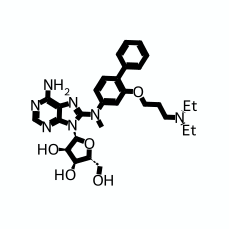 CCN(CC)CCCOc1cc(N(C)c2nc3c(N)ncnc3n2[C@@H]2O[C@H](CO)[C@@H](O)[C@H]2O)ccc1-c1ccccc1